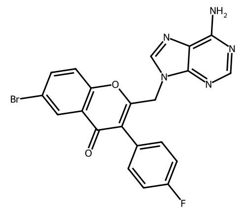 Nc1ncnc2c1ncn2Cc1oc2ccc(Br)cc2c(=O)c1-c1ccc(F)cc1